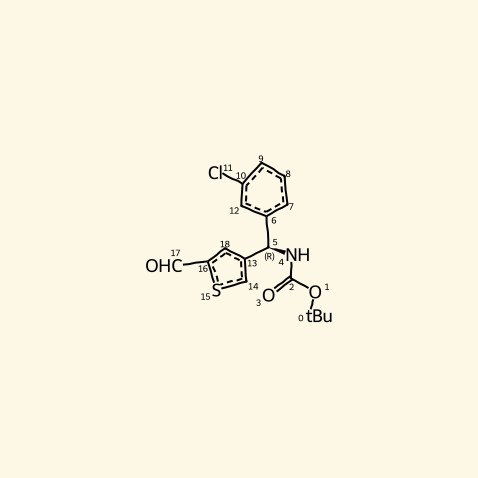 CC(C)(C)OC(=O)N[C@H](c1cccc(Cl)c1)c1csc(C=O)c1